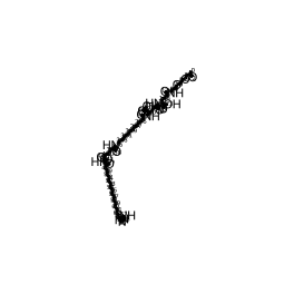 CC(=O)COCCOCCNC(=O)CCC(NC(=O)CCC(NC(=O)CCCCCCCCCCCNC(=O)CCCS(=O)(=O)NC(=O)CCCCCCCCCCCCCCCc1nnn[nH]1)C(=O)O)C(=O)O